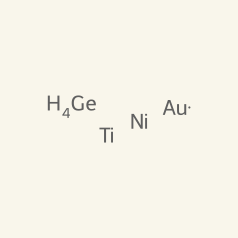 [Au].[GeH4].[Ni].[Ti]